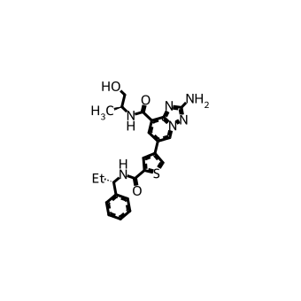 CC[C@H](NC(=O)c1cc(-c2cc(C(=O)N[C@@H](C)CO)c3nc(N)nn3c2)cs1)c1ccccc1